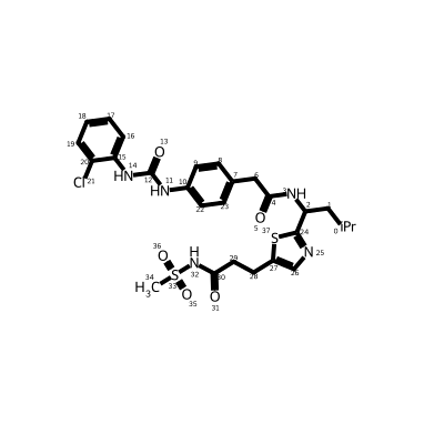 CC(C)CC(NC(=O)Cc1ccc(NC(=O)Nc2ccccc2Cl)cc1)c1ncc(CCC(=O)NS(C)(=O)=O)s1